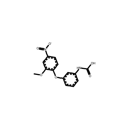 COc1cc([N+](=O)[O-])ccc1Oc1cccc(NC(=O)O)c1